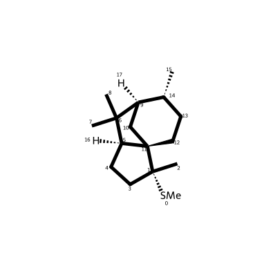 CS[C@]1(C)CC[C@H]2C(C)(C)[C@@H]3C[C@@]21CC[C@H]3C